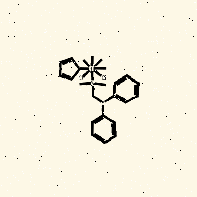 C[Si](C)(CP(c1ccccc1)c1ccccc1)[Ti]([CH3])([CH3])([CH3])([CH3])([Cl])([Cl])[CH]1C=CC=C1